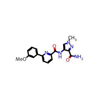 COc1cccc(-c2cccc(C(=O)Nc3cn(C)nc3C(N)=O)n2)c1